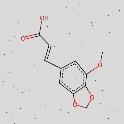 COc1cc(C=CC(=O)O)cc2c1OCO2